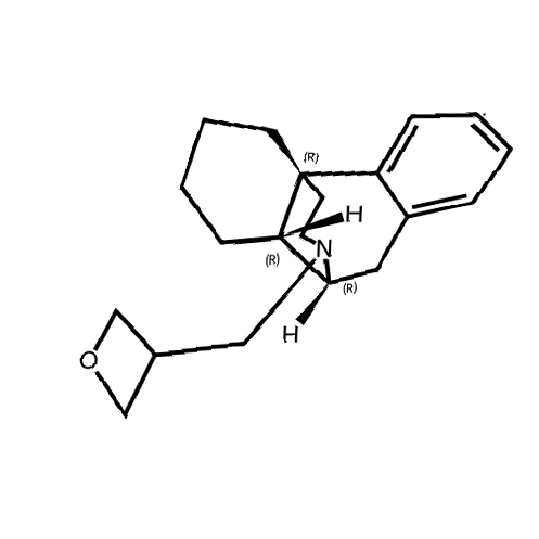 [c]1ccc2c(c1)[C@@]13CCCC[C@H]1[C@@H](C2)N(CC1COC1)CC3